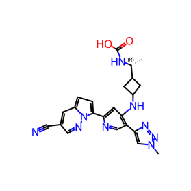 C[C@@H](NC(=O)O)C1CC(Nc2cc(-c3ccc4cc(C#N)cnn34)ncc2-c2cn(C)nn2)C1